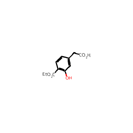 CCOC(=O)c1ccc(CC(=O)O)cc1O